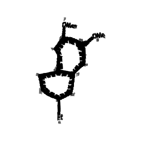 CCc1ccc2cc(OC)c(OC)cc2c1